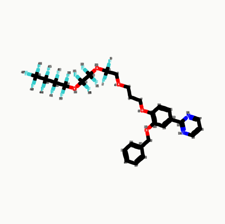 FC(F)(COCCCOc1ccc(-c2ncccn2)cc1OCc1ccccc1)OC(F)(F)C(F)(F)OC(F)(F)C(F)(F)C(F)(F)C(F)(F)F